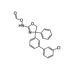 O=CONC1=NC(c2ccccc2)(c2cccc(-c3cccc(Cl)c3)c2)CO1